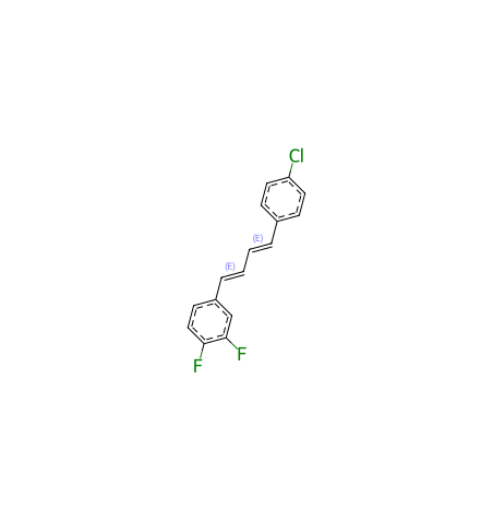 Fc1ccc(/C=C/C=C/c2ccc(Cl)cc2)cc1F